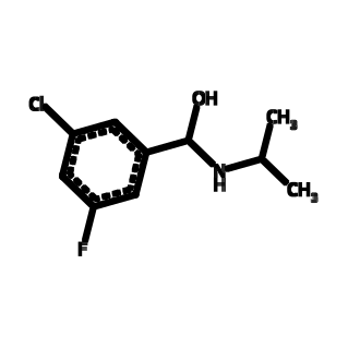 CC(C)NC(O)c1cc(F)cc(Cl)c1